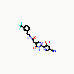 N#Cc1cnc(-c2ncc(CC(=O)NCCc3cccc(C(F)(F)F)c3)c(=O)[nH]2)c(O)c1